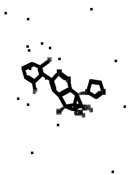 CC1(C)[C@H]2CC[C@]1(n1ccnc1)c1nnc(-c3c(F)cccc3F)cc12